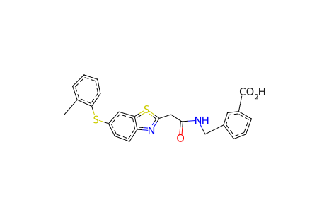 Cc1ccccc1Sc1ccc2nc(CC(=O)NCc3cccc(C(=O)O)c3)sc2c1